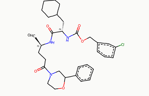 O=C[C@H](CCC(=O)N1CCOC(c2ccccc2)C1)NC(=O)[C@H](CC1CCCCC1)NC(=O)OCc1cccc(Cl)c1